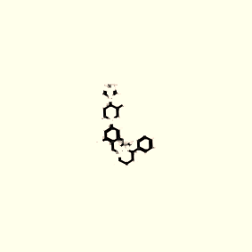 CC1CN(c2cc(F)c(CN3[C@@H](C)CCC(c4ccccc4)S3(=O)=O)c(F)c2)CCC1n1cnnc1